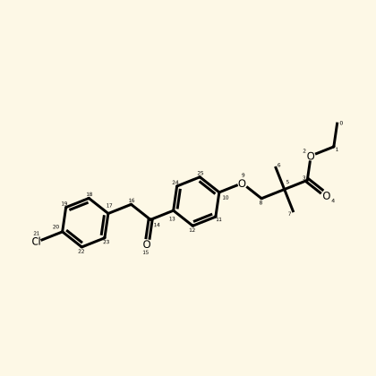 CCOC(=O)C(C)(C)COc1ccc(C(=O)Cc2ccc(Cl)cc2)cc1